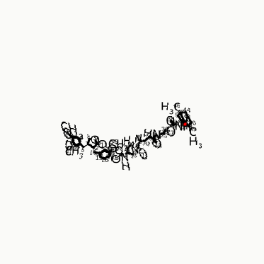 COc1ccc(C[C@H]2COC(=O)[C@@H]2Cc2ccc(OC(=O)N[C@H]3CCN(C(=O)[C@@H](N)CCC(=O)NCCOC(=O)NC45CC6CC(C)(CC(C)(C6)C4)C5)C3)c(OC)c2)cc1OC